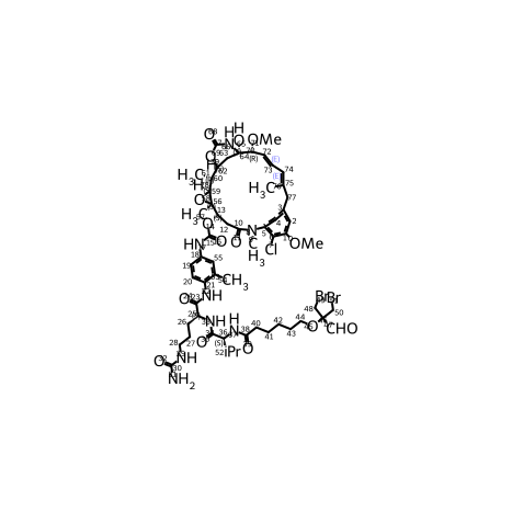 COc1cc2cc(c1Cl)N(C)C(=O)C[C@H](OC(=O)Nc1ccc(NC(=O)[C@H](CCCNC(N)=O)NC(=O)[C@@H](NC(=O)CCCCCOC(C=O)(CBr)CBr)C(C)C)c(C)c1)[C@]1(C)O[C@H]1[C@H](C)[C@@H]1C[C@@](O)(NC(=O)O1)[C@H](OC)/C=C/C=C(\C)C2